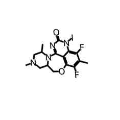 Cc1c(F)c2c3c(nc(=O)n(I)c3c1F)N1C(C)CN(C)CC1CO2